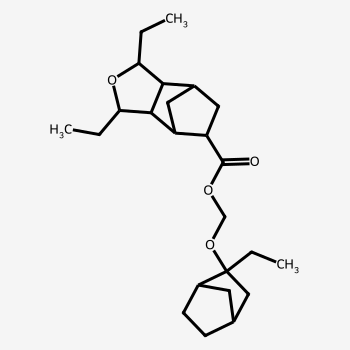 CCC1OC(CC)C2C3CC(CC3C(=O)OCOC3(CC)CC4CCC3C4)C12